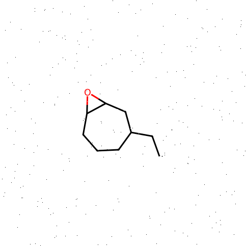 [CH2]CC1CCCC2OC2C1